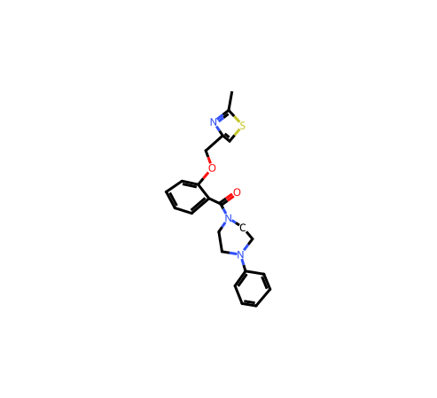 Cc1nc(COc2ccccc2C(=O)N2CCN(c3ccccc3)CC2)cs1